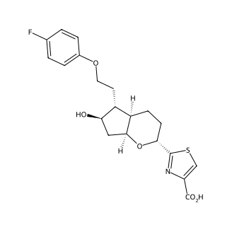 O=C(O)c1csc([C@H]2CC[C@@H]3[C@@H](CCOc4ccc(F)cc4)[C@H](O)C[C@@H]3O2)n1